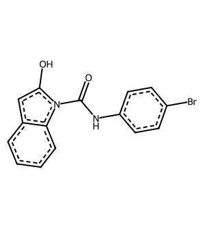 O=C(Nc1ccc(Br)cc1)n1c(O)cc2ccccc21